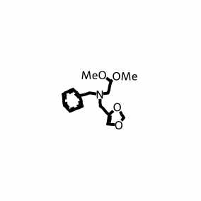 COC(CN(CC1=COCO1)Cc1ccccc1)OC